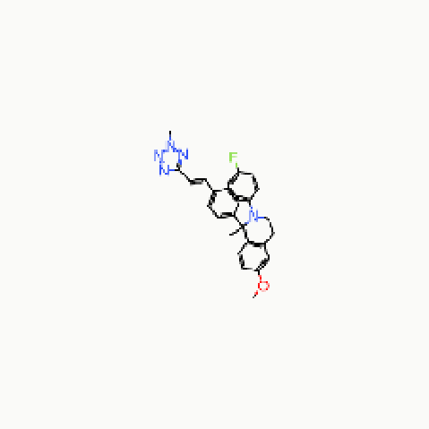 COc1ccc2c(c1)CCN(c1ccc(F)cc1)C2(C)c1ccc(C=Cc2nnn(C)n2)cc1